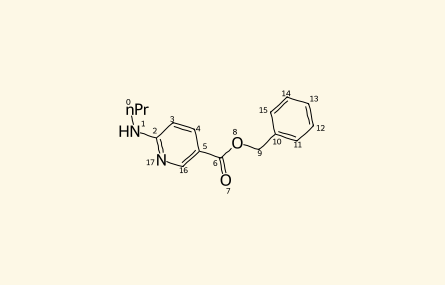 CCCNc1ccc(C(=O)OCc2ccccc2)cn1